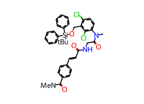 CNC(=O)c1ccc(C=CC(=O)NCC(=O)N(C)c2ccc(Cl)c(CO[Si](c3ccccc3)(c3ccccc3)C(C)(C)C)c2Cl)cc1